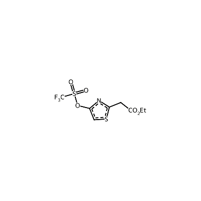 CCOC(=O)Cc1nc(OS(=O)(=O)C(F)(F)F)cs1